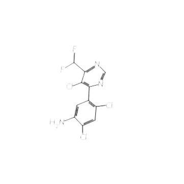 Nc1cc(-c2ncnc(C(F)F)c2Cl)c(Cl)cc1Cl